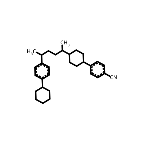 CC(CCC(C)C1CCC(c2ccc(C#N)cc2)CC1)c1ccc(C2CCCCC2)cc1